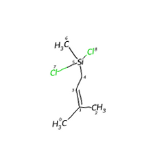 CC(C)=CC[Si](C)(Cl)Cl